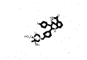 C[C@@H]1CN(Cc2ccc(C3Nc4cccc5c(=O)[nH]nc(c45)C3c3ccc(F)cc3)cc2)C[C@@](C)(C(C)(C)C)N1C(=O)O